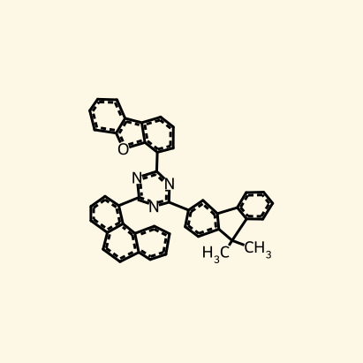 CC1(C)c2ccccc2-c2cc(-c3nc(-c4cccc5c4oc4ccccc45)nc(-c4cccc5ccc6ccccc6c45)n3)ccc21